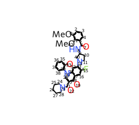 COc1cccc(C(=O)NC2CCN(c3c(F)cc4c(=O)c(C(=O)N5CCCCC5)cn5c4c3Oc3ccccc3-5)C2)c1OC